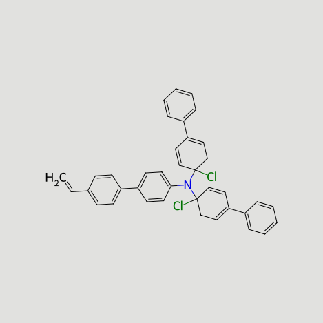 C=Cc1ccc(-c2ccc(N(C3(Cl)C=CC(c4ccccc4)=CC3)C3(Cl)C=CC(c4ccccc4)=CC3)cc2)cc1